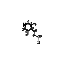 C=c1cncc(C)/c1=C/CCC